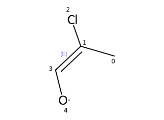 C/C(Cl)=C\[O]